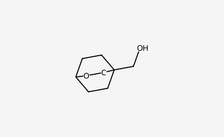 OCC12CCC(CC1)OC2